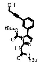 CCCCOC(=O)Nc1ncc(-c2cccc(C#CCO)c2)n1C(=O)OC(C)(C)C